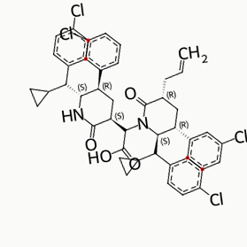 C=CC[C@@H]1C[C@H](c2cccc(Cl)c2)[C@@H](C(c2ccc(Cl)cc2)C2CC2)N(C(C(=O)O)[C@@H]2C[C@H](c3cccc(Cl)c3)[C@@H](C(c3ccc(Cl)cc3)C3CC3)NC2=O)C1=O